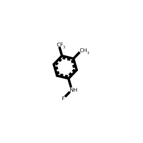 Cc1cc(NF)ccc1C(F)(F)F